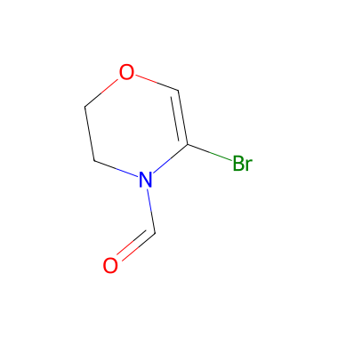 O=CN1CCOC=C1Br